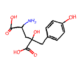 NC(CC(O)(Cc1ccc(O)cc1)C(=O)O)C(=O)O